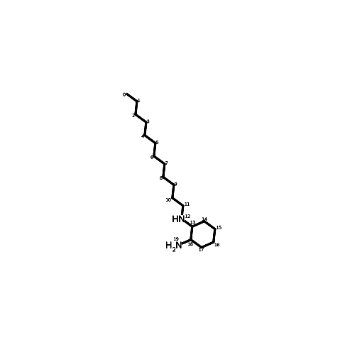 CCCCCCCCCCCCNC1CCCCC1N